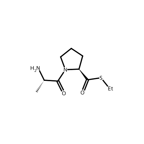 CCSC(=O)[C@@H]1CCCN1C(=O)[C@H](C)N